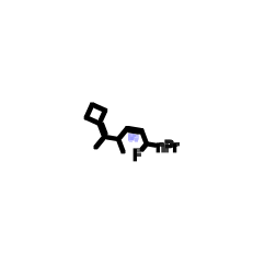 CCCC(F)/C=C\C(C)C(C)=C1CCC1